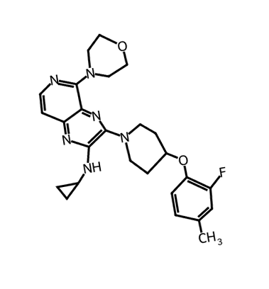 Cc1ccc(OC2CCN(c3nc4c(N5CCOCC5)nccc4nc3NC3CC3)CC2)c(F)c1